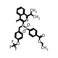 CCOC(=O)c1ccc(S(=O)(=O)N(Cc2ccc(OC(F)(F)F)cc2)c2nc(C(C)C)c3ccccc3c2I)cc1